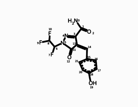 NC(=O)C1=NN(C(F)C(F)F)C(=O)C1=Cc1ccc(O)cc1